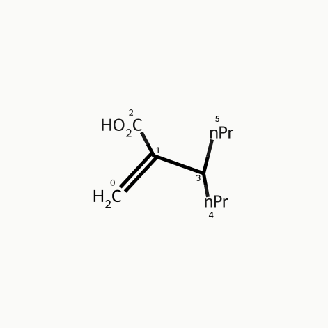 C=C(C(=O)O)C(CCC)CCC